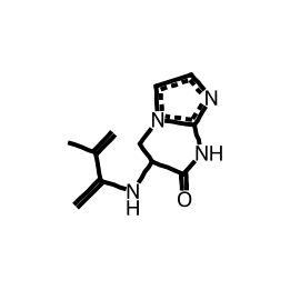 C=C(C)C(=C)NC1Cn2ccnc2NC1=O